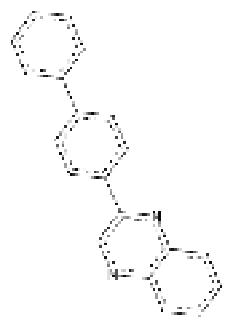 [c]1nc2ccccc2nc1-c1ccc(-c2ccccc2)cc1